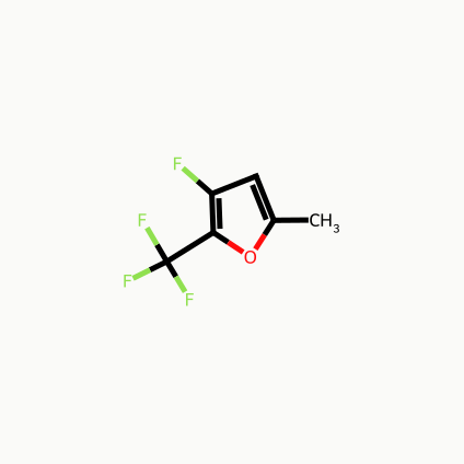 Cc1cc(F)c(C(F)(F)F)o1